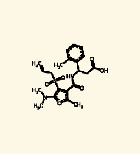 C=CCS(=O)(=O)c1c(N(C)C)oc(C)c1C(=O)NC(CC(=O)O)c1ccccc1C